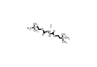 C[N+](C)(C)CCOC(=O)NNC(=O)OCC[N+](C)(C)C.[I-].[I-]